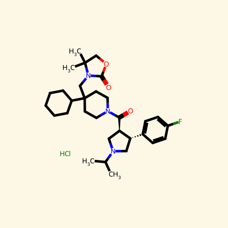 CC(C)N1C[C@@H](C(=O)N2CCC(CN3C(=O)OCC3(C)C)(C3CCCCC3)CC2)[C@H](c2ccc(F)cc2)C1.Cl